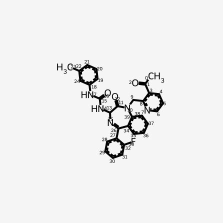 CC(=O)c1cccnc1CN1C(=O)C(NC(=O)Nc2cccc(C)c2)N=C(c2ccccc2F)c2ccccc21